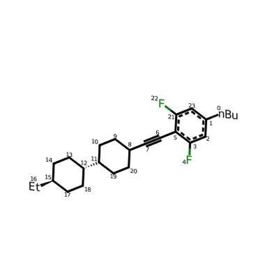 CCCCc1cc(F)c(C#CC2CCC([C@H]3CC[C@H](CC)CC3)CC2)c(F)c1